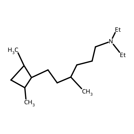 CCN(CC)CCCC(C)CCC1C(C)CC1C